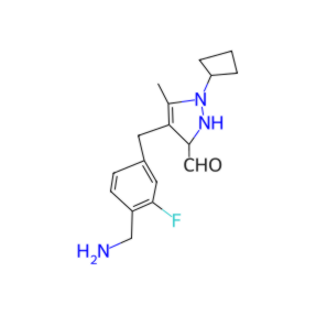 CC1=C(Cc2ccc(CN)c(F)c2)C(C=O)NN1C1CCC1